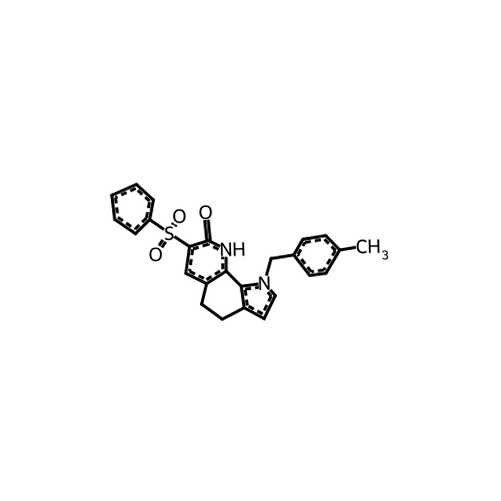 Cc1ccc(Cn2ccc3c2-c2[nH]c(=O)c(S(=O)(=O)c4ccccc4)cc2CC3)cc1